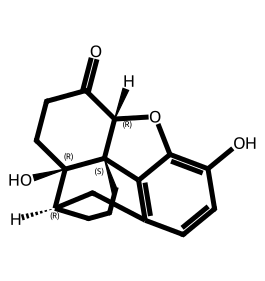 O=C1CC[C@@]2(O)[C@@H]3CCC[C@@]24c2c(ccc(O)c2O[C@@H]14)C3